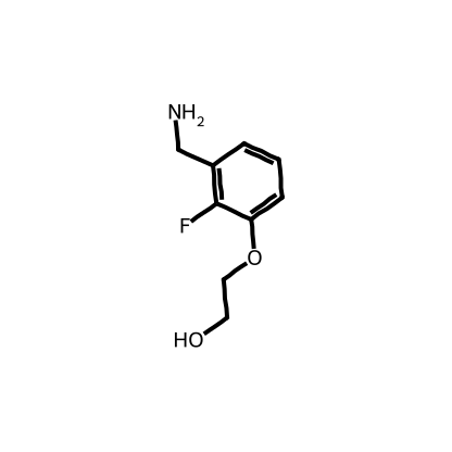 NCc1cccc(OCCO)c1F